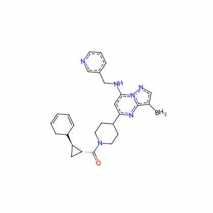 Bc1cnn2c(NCc3cccnc3)cc(C3CCN(C(=O)[C@@H]4C[C@H]4C4C=CC=CC4)CC3)nc12